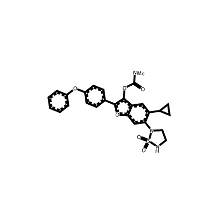 CNC(=O)Oc1c(-c2ccc(Oc3ccccc3)cc2)oc2cc(N3CCNS3(=O)=O)c(C3CC3)cc12